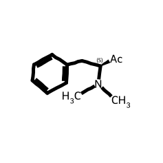 CC(=O)[C@H](Cc1ccccc1)N(C)C